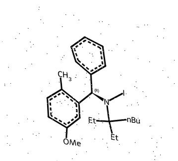 CCCCC(CC)(CC)N(I)[C@H](c1ccccc1)c1cc(OC)ccc1C